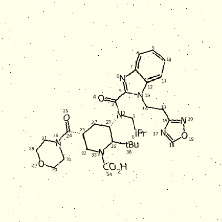 CC(C)CN(C(=O)c1nc2ccccc2n1CCc1ncon1)[C@H]1C[C@@H](C(=O)N2CCOCC2)CN(C(=O)O)C1C(C)(C)C